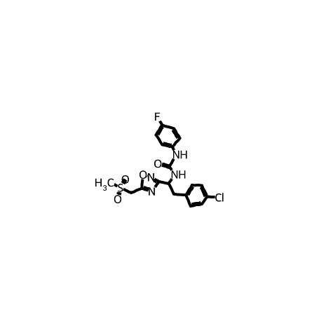 CS(=O)(=O)Cc1nc(C(Cc2ccc(Cl)cc2)NC(=O)Nc2ccc(F)cc2)no1